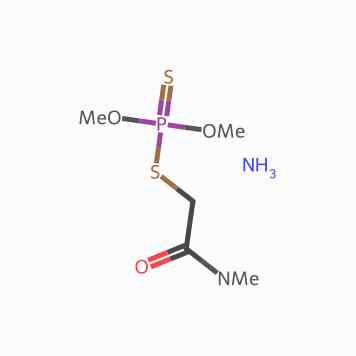 CNC(=O)CSP(=S)(OC)OC.N